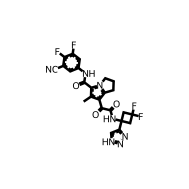 Cc1c(C(=O)C(=O)NC2(c3c[nH]nn3)CC(F)(F)C2)c2n(c1C(=O)Nc1cc(F)c(F)c(C#N)c1)CCC2